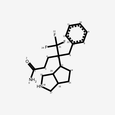 NC(=O)CCC(Cc1ccccc1)(C1CCC2CNCC21)C(F)(F)F